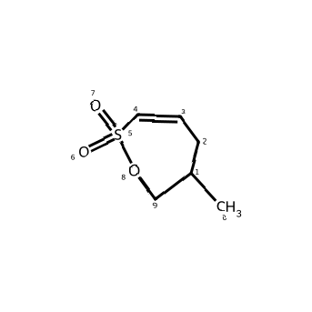 CC1CC=CS(=O)(=O)OC1